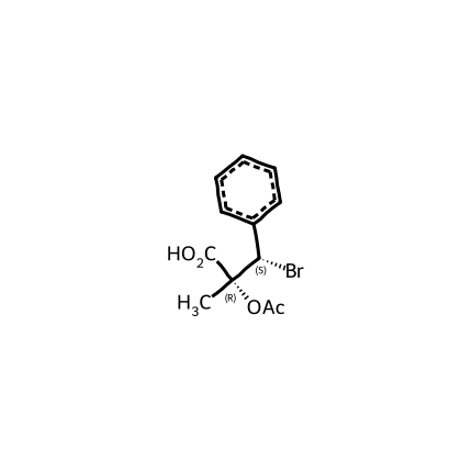 CC(=O)O[C@](C)(C(=O)O)[C@@H](Br)c1ccccc1